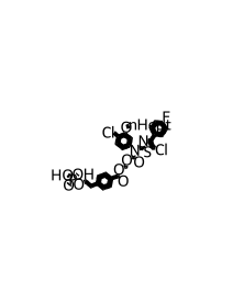 CCCCCCCOc1cc(N(C(=O)OCOC(=O)c2ccc(CCOP(=O)(O)O)cc2)c2nc(-c3ccc(F)cc3)c(Cl)s2)ccc1Cl